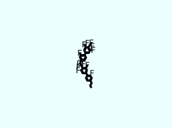 CCCc1ccc(-c2cc(F)c(C(F)(F)Oc3ccc(-c4cc(F)c(C(F)(F)F)c(F)c4)c(F)c3)c(F)c2)c(F)c1